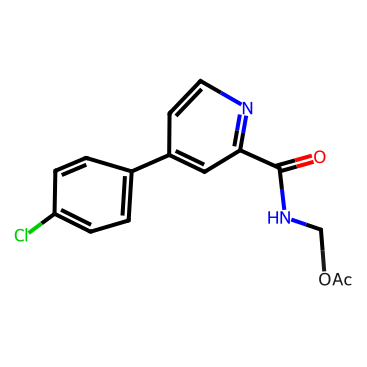 CC(=O)OCNC(=O)c1cc(-c2ccc(Cl)cc2)ccn1